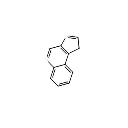 C1=Nc2cnc3ccccc3c2C1